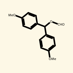 COc1ccc(C(OC=O)c2ccc(OC)cc2)cc1